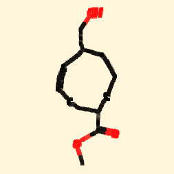 COC(=O)C1CC=CC(CO)CCC1